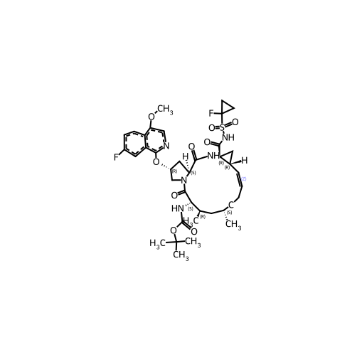 COc1cnc(O[C@@H]2C[C@H]3C(=O)N[C@]4(C(=O)NS(=O)(=O)C5(F)CC5)C[C@@H]4/C=C\CC[C@H](C)C[C@@H](C)[C@H](NC(=O)OC(C)(C)C)C(=O)N3C2)c2cc(F)ccc12